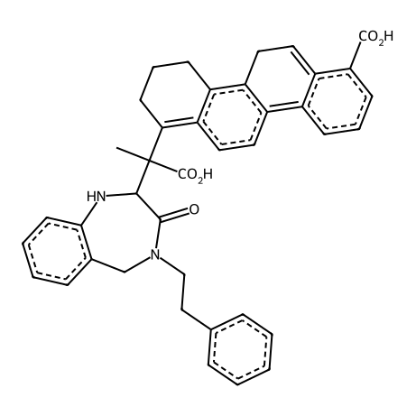 CC(C(=O)O)(C1=c2ccc3c(c2CCC1)CC=c1c(C(=O)O)cccc1=3)C1Nc2ccccc2CN(CCc2ccccc2)C1=O